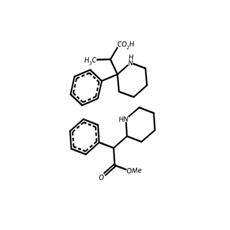 CC(C(=O)O)C1(c2ccccc2)CCCCN1.COC(=O)C(c1ccccc1)C1CCCCN1